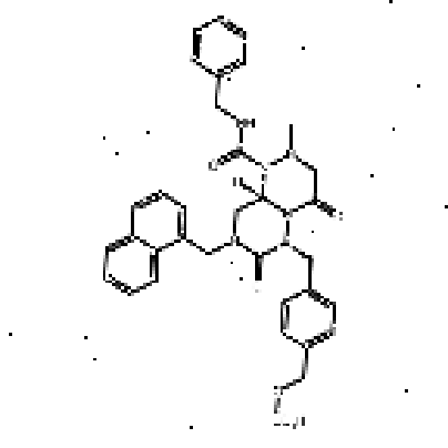 CN1CC(=O)N2[C@@H](Cc3ccc(COC(=O)O)cc3)C(=O)N(Cc3cccc4ccccc34)C[C@@H]2N1C(=O)NCc1ccccc1